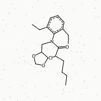 CCCCC(Cl)C(=O)N(CC1COCO1)c1c(CC)cccc1CC